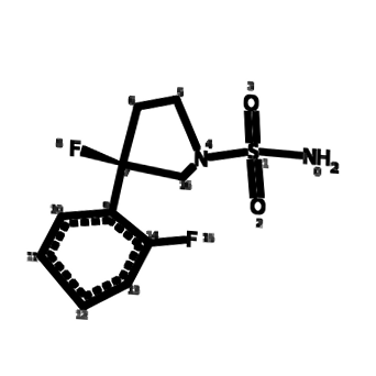 NS(=O)(=O)N1CC[C@@](F)(c2ccccc2F)C1